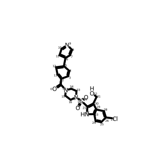 O=C(c1ccc(-c2ccncc2)cc1)N1CCN(S(=O)(=O)c2[nH]c3ccc(Cl)cc3c2CO)CC1